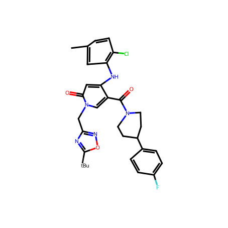 Cc1ccc(Cl)c(Nc2cc(=O)n(Cc3noc(C(C)(C)C)n3)cc2C(=O)N2CCC(c3ccc(F)cc3)CC2)c1